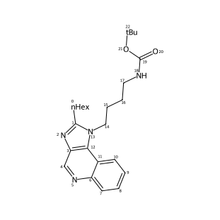 CCCCCCc1nc2cnc3ccccc3c2n1CCCCNC(=O)OC(C)(C)C